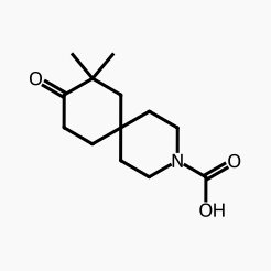 CC1(C)CC2(CCC1=O)CCN(C(=O)O)CC2